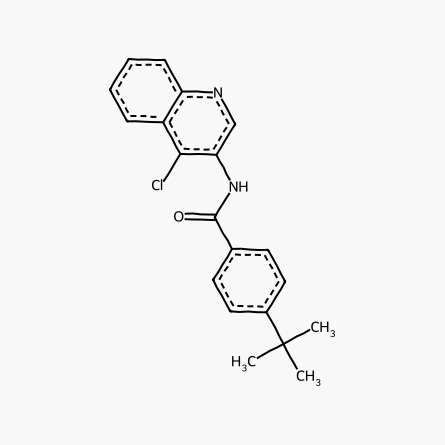 CC(C)(C)c1ccc(C(=O)Nc2cnc3ccccc3c2Cl)cc1